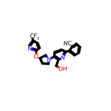 N#Cc1ccccc1-c1ccc(N2CC[C@H](Oc3ccc(C(F)(F)F)cn3)C2)c(CO)n1